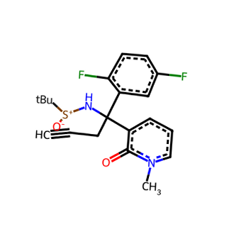 C#CCC(N[S+]([O-])C(C)(C)C)(c1cc(F)ccc1F)c1cccn(C)c1=O